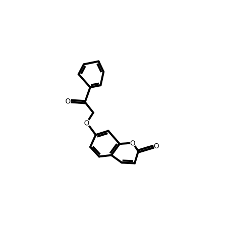 O=C(COc1ccc2ccc(=O)oc2c1)c1ccccc1